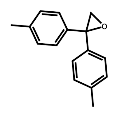 Cc1ccc(C2(c3ccc(C)cc3)CO2)cc1